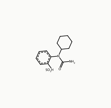 NC(=O)N(c1ccccc1S(=O)(=O)O)C1CCCCC1